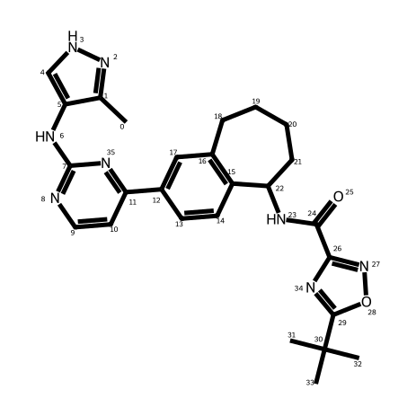 Cc1n[nH]cc1Nc1nccc(-c2ccc3c(c2)CCCCC3NC(=O)c2noc(C(C)(C)C)n2)n1